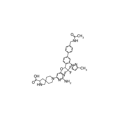 CC(=O)NCc1ccc(-c2ccc(C(Oc3cc(N4CCC5(CC4)CNC(C(=O)O)C5)nc(N)n3)C(F)(F)F)c(-n3ccc(C)n3)c2)cc1